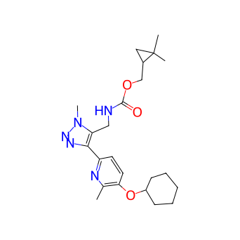 Cc1nc(-c2nnn(C)c2CNC(=O)OCC2CC2(C)C)ccc1OC1CCCCC1